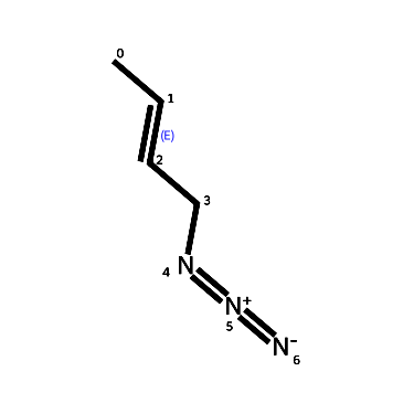 C/C=C/CN=[N+]=[N-]